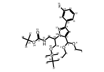 CCOC(OCC)c1cc(-c2cccc(F)c2)nn1C(CNC(=O)OC(C)(C)C)CO[Si](C)(C)C(C)(C)C